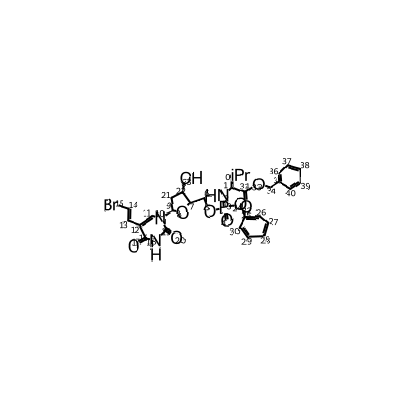 CC(C)C(NP(=O)(OCC1O[C@@H](n2cc(/C=C/Br)c(=O)[nH]c2=O)C[C@H]1O)Oc1ccccc1)C(=O)OCc1ccccc1